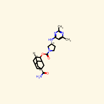 Cc1cc(N[C@@H]2CCN(C(=O)OC3C4CC5C[C@H]3C[C@@](C(N)=O)(C5)C4)C2)nc(C)n1